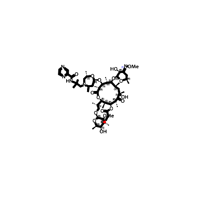 CO/N=C1\C[C@@H](C)O[C@@H](O[C@@H]2[C@@H](C)[C@H](O[C@H]3CC(C)N(CC(C)(C)NC(=O)c4cnccn4)C[C@H](C)O3)[C@@H](C)C(=O)O[C@H]([C@@H](C)CO[C@@H]3O[C@H](C)[C@@H](O)[C@@H](C)[C@H]3OC)[C@H](C)[C@@H](OC(=O)CC(C)C)[C@@H](C)C(=O)[C@@](C)(O)C[C@@H]2C)[C@@H]1O